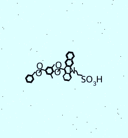 Cc1cc(C(=O)OCc2ccccc2)cc(C)c1OC(=O)C1=C2CC=CC=C2N(CCCS(=O)(=O)O)c2cc3ccccc3cc21